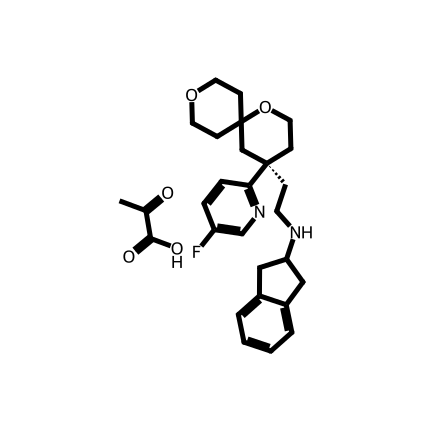 CC(=O)C(=O)O.Fc1ccc([C@]2(CCNC3Cc4ccccc4C3)CCOC3(CCOCC3)C2)nc1